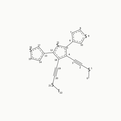 CSC#Cc1c(-c2ccsc2)sc(-c2ccsc2)c1C#CSI